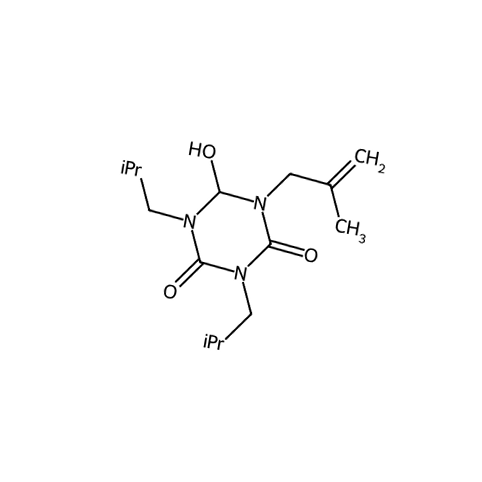 C=C(C)CN1C(=O)N(CC(C)C)C(=O)N(CC(C)C)C1O